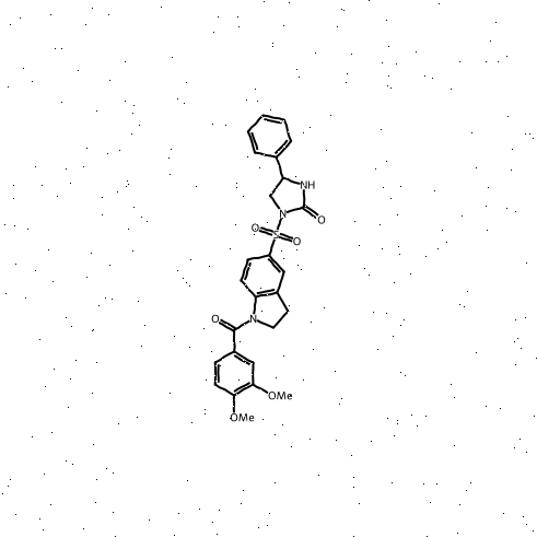 COc1ccc(C(=O)N2CCc3cc(S(=O)(=O)N4CC(c5ccccc5)NC4=O)ccc32)cc1OC